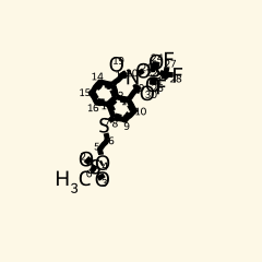 CS(=O)(=O)OCCSc1ccc2c3c(cccc13)C(=O)N(OS(=O)(=O)C(F)(F)F)C2=O